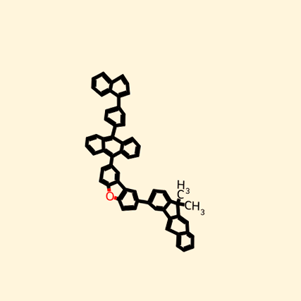 CC1(C)c2ccc(-c3ccc4oc5ccc(-c6c7ccccc7c(-c7ccc(-c8cccc9ccccc89)cc7)c7ccccc67)cc5c4c3)cc2-c2cc3ccccc3cc21